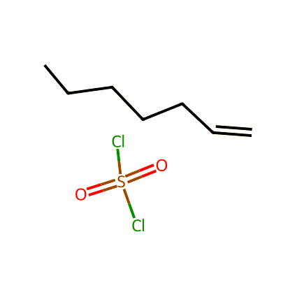 C=CCCCCC.O=S(=O)(Cl)Cl